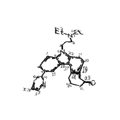 CCN(CC)CCn1c2ccc(-c3nccs3)cc2c2c3c(ccc21)C(=O)CC3